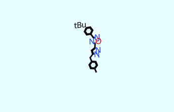 Cc1ccc(Cc2cc(-c3nc(-c4ccc(C(C)(C)C)cc4)no3)nn2C)cc1